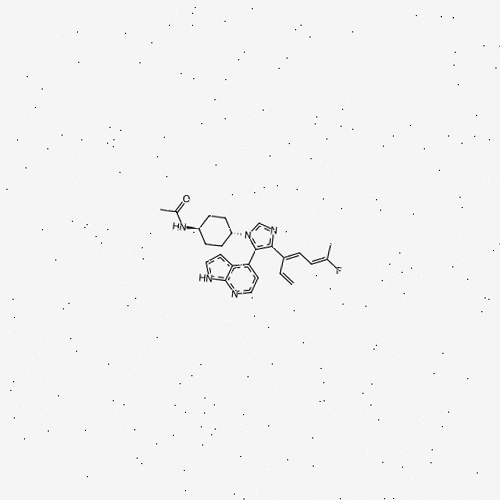 C=C/C(=C\C=C(/C)F)c1ncn([C@H]2CC[C@H](NC(C)=O)CC2)c1-c1ccnc2[nH]ccc12